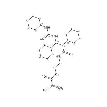 C=C(C)C(=O)OCCNC(=O)N(C1CCCCC1)C(NC(=O)NC1CCCCC1)C1CCCCC1